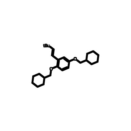 CC(C)(C)/C=C/c1cc(OCC2CCCCC2)ccc1OCC1CCCCC1